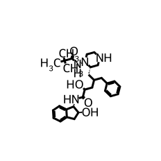 CC(C)(C)C(=O)NN1CCNC[C@@H]1CC(Cc1ccccc1)CC(O)C(=O)N[C@H]1c2ccccc2C[C@@H]1O